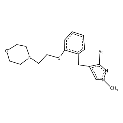 CC(=O)c1nn(C)cc1Cc1ccccc1SCCN1CCOCC1